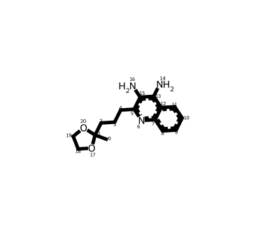 CC1(CCCc2nc3ccccc3c(N)c2N)OCCO1